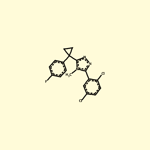 Cn1c(-c2cc(Cl)ccc2Cl)nnc1C1(c2ccc(F)cc2)CC1